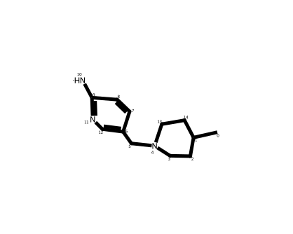 CC1CCN(Cc2ccc([NH])nc2)CC1